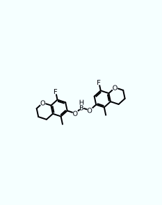 Cc1c(OBOc2cc(F)c3c(c2C)CCCO3)cc(F)c2c1CCCO2